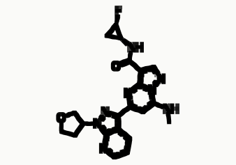 CNc1cc(-c2nn(C3CCOC3)c3ncccc23)nc2c(C(=O)N[C@H]3C[C@H]3F)cnn12